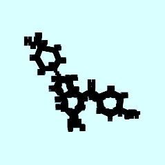 CC(C)c1ccc(Nc2cc(N)nn3cc([C@H]4CC[C@H](N)CC4)nc23)cc1